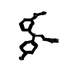 CC(C)Oc1cc([C@@H](CN=[N+]=[N-])c2ccc(Cl)cc2)ccn1